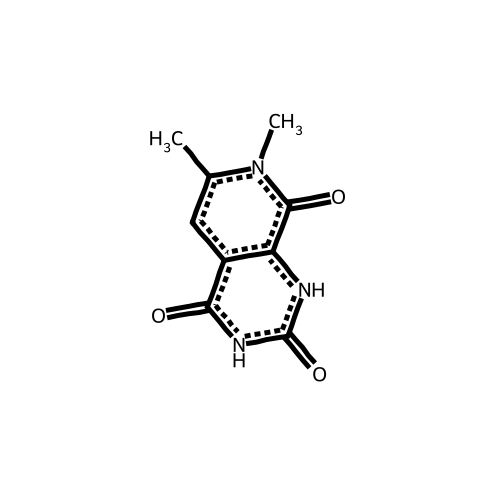 Cc1cc2c(=O)[nH]c(=O)[nH]c2c(=O)n1C